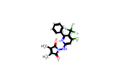 CC1=C(C)C(=O)N(Nc2cc(Cl)c(C(F)(F)F)c(-c3ccccc3)n2)C1=O